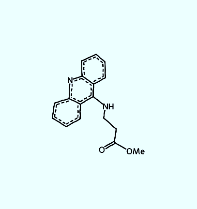 COC(=O)CCNc1c2ccccc2nc2ccccc12